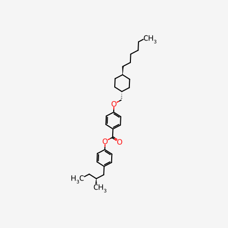 CCCCCC[C@H]1CC[C@H](COc2ccc(C(=O)Oc3ccc(C[C@@H](C)CC)cc3)cc2)CC1